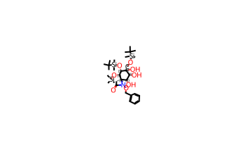 CC(C)(C)[Si](C)(C)OC[C@]1(O)[C@H](O)[C@H](O)[C@]2(CC(=O)N2OCc2ccccc2)[C@H](O[Si](C)(C)C)[C@@H]1O[Si](C)(C)C(C)(C)C